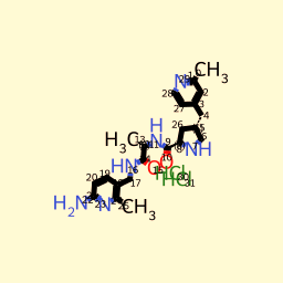 Cc1cc(C[C@@H]2CN[C@@H](C(=O)N[C@@H](C)C(=O)NCc3ccc(N)nc3C)C2)ccn1.Cl.Cl